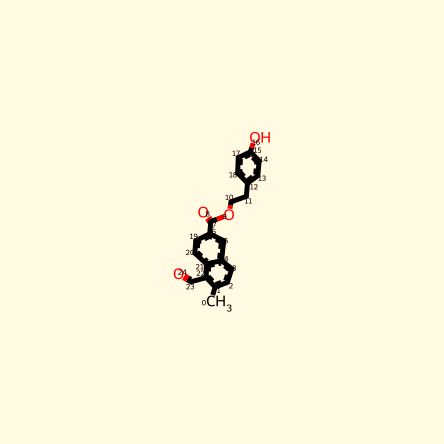 Cc1ccc2cc(C(=O)OCCc3ccc(O)cc3)ccc2c1C=O